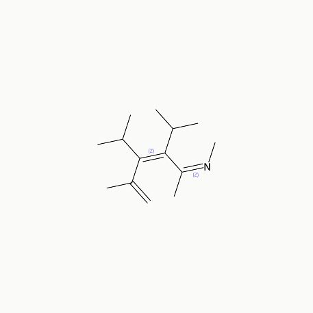 C=C(C)/C(=C(\C(C)=N/C)C(C)C)C(C)C